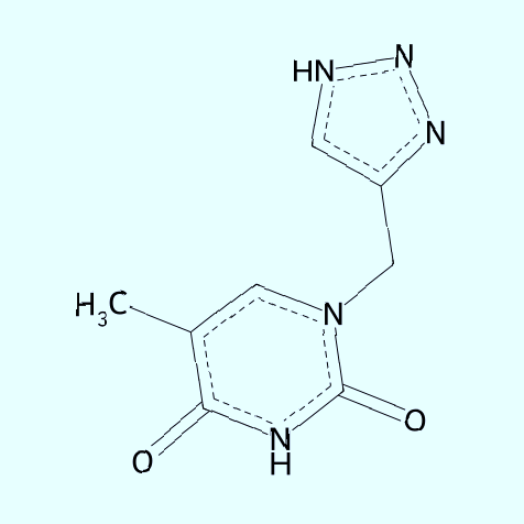 Cc1cn(Cc2c[nH]nn2)c(=O)[nH]c1=O